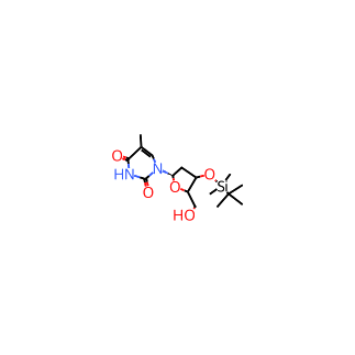 Cc1cn([C@H]2CC(O[Si](C)(C)C(C)(C)C)C(CO)O2)c(=O)[nH]c1=O